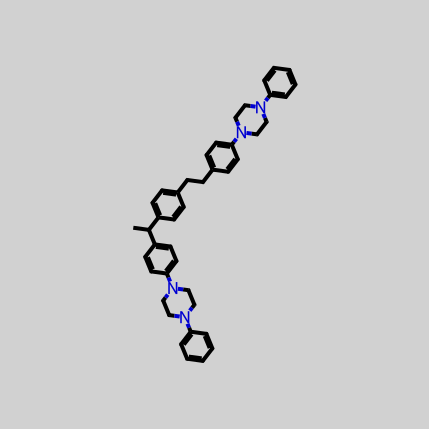 CC(c1ccc(CCc2ccc(N3CCN(c4ccccc4)CC3)cc2)cc1)c1ccc(N2CCN(c3ccccc3)CC2)cc1